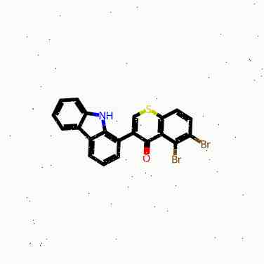 O=c1c(-c2cccc3c2[nH]c2ccccc23)csc2ccc(Br)c(Br)c12